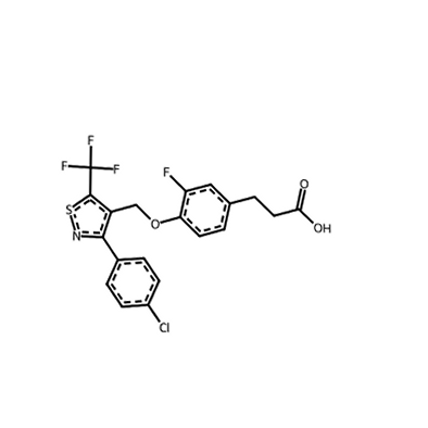 O=C(O)CCc1ccc(OCc2c(-c3ccc(Cl)cc3)nsc2C(F)(F)F)c(F)c1